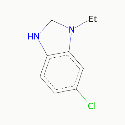 CCN1CNc2ccc(Cl)cc21